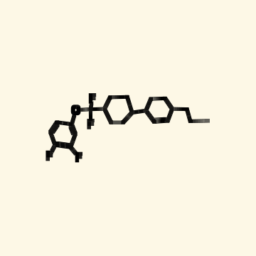 CCCC1C=CC(C2CCC(C(F)(F)Oc3ccc(F)c(F)c3)CC2)CC1